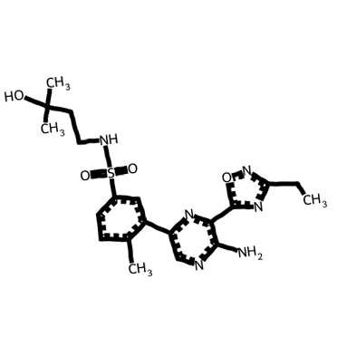 CCc1noc(-c2nc(-c3cc(S(=O)(=O)NCCC(C)(C)O)ccc3C)cnc2N)n1